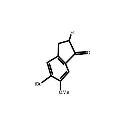 CCC1Cc2cc(C(C)(C)C)c(OC)cc2C1=O